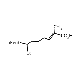 CCCCCC(CC)CCCC=C(C)C(=O)O